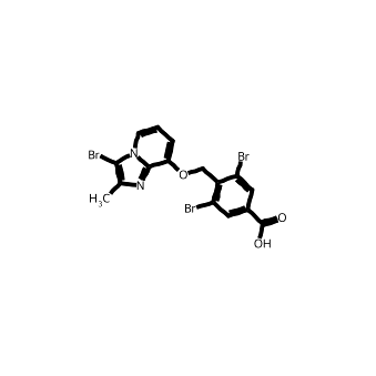 Cc1nc2c(OCc3c(Br)cc(C(=O)O)cc3Br)cccn2c1Br